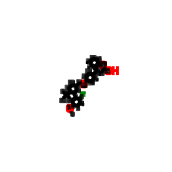 COc1ccc(F)c(-c2cc(COc3ccc([C@@H](CC(=O)O)c4ccccc4)cc3)ccc2C(C)(C)C)c1